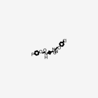 O=C(COc1ccc(F)cc1)NC12CC(c3nc(COc4ccc(Cl)cc4)no3)(C1)C2